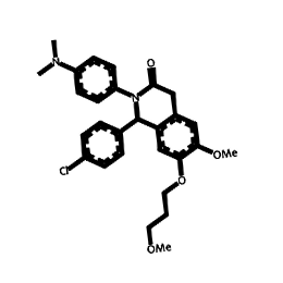 COCCCOc1cc2c(cc1OC)CC(=O)N(c1ccc(N(C)C)cc1)C2c1ccc(Cl)cc1